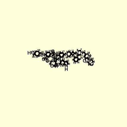 COc1cc(CN2CCN(C3CC4(CCN(c5ccc(C(=O)NS(=O)(=O)c6ccc(NCC7CCC(C)(O)CC7)c([N+](=O)[O-])c6)c(N6C[C@@H]7OCCOC[C@H]7Oc7nc8[nH]ccc8cc76)c5)CC4)C3)[C@H](c3ccccc3C)C2)cnc1N1CCOCC1